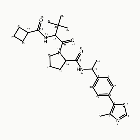 Cc1ncsc1-c1ccc(C(C)NC(=O)C2CCCN2C(=O)C(NC(=O)C2CCC2)C(C)(C)C)cc1